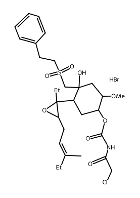 Br.CCC(C)=CCC1OC1(CC)C1CC(OC(=O)NC(=O)CCl)C(OC)CC1(O)CS(=O)(=O)CCc1ccccc1